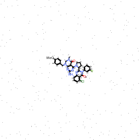 COc1ccc(CN2CN(C)C(=O)c3c2nc(N)nc3N2CCCC2c2nc3cccc(Cl)c3c(=O)n2-c2cccc(F)c2)cc1